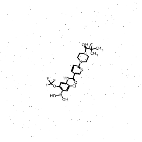 CC(C)(C)C(=O)N1CCN(c2ccc(C(=O)Nc3cc(OC(F)(F)F)c(B(O)O)cc3Cl)cn2)CC1